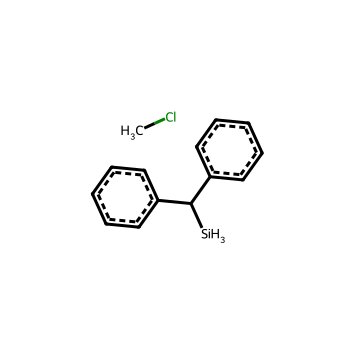 CCl.[SiH3]C(c1ccccc1)c1ccccc1